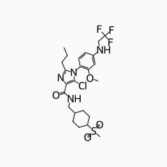 CCCc1nc(C(=O)NCC2CCC(S(C)(=O)=O)CC2)c(Cl)n1-c1ccc(NCC(F)(F)F)cc1OC